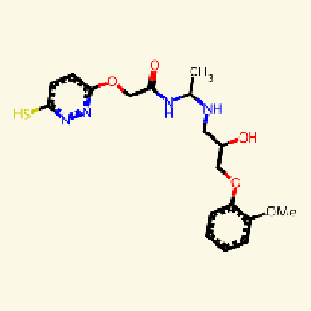 COc1ccccc1OCC(O)CNC(C)NC(=O)COc1ccc(S)nn1